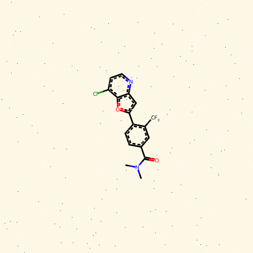 CN(C)C(=O)c1ccc(-c2cc3nccc(Cl)c3o2)c(C(F)(F)F)c1